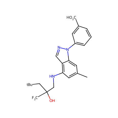 Cc1cc(NCC(O)(CC(C)(C)C)C(F)(F)F)c2cnn(-c3cccc(C(=O)O)c3)c2c1